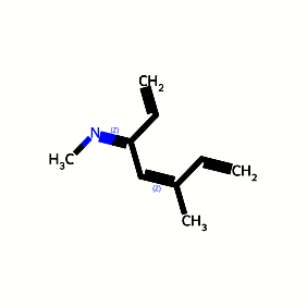 C=C/C(C)=C\C(C=C)=N/C